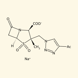 CC(=O)c1cn(C[C@@]2(C)[C@H](C(=O)[O-])N3C(=O)C[C@@H]3S2(=O)=O)nn1.[Na+]